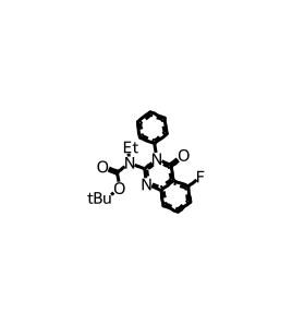 CCN(C(=O)OC(C)(C)C)c1nc2cccc(F)c2c(=O)n1-c1ccccc1